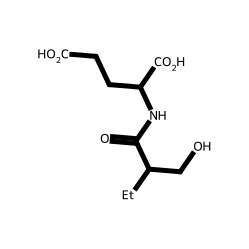 CCC(CO)C(=O)NC(CCC(=O)O)C(=O)O